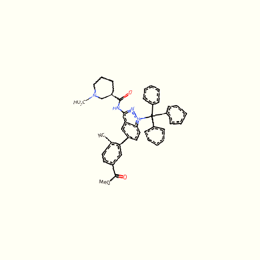 COC(=O)c1ccc(C#N)c(-c2ccc3c(c2)c(NC(=O)[C@@H]2CCCN(C(=O)O)C2)nn3C(c2ccccc2)(c2ccccc2)c2ccccc2)c1